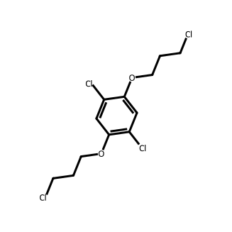 ClCCCOc1cc(Cl)c(OCCCCl)cc1Cl